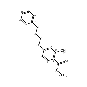 COC(=O)c1ccc(OCCCc2ccccc2)cc1O